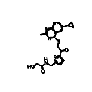 Cc1nc(SCC(=O)c2ccc(CNC(=O)CO)s2)c2cc(C3CC3)ccc2n1